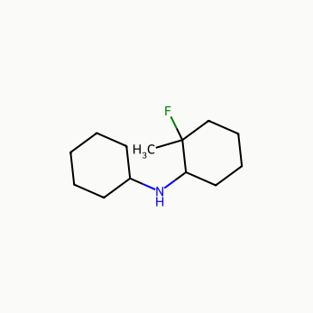 CC1(F)CCCCC1NC1CCCCC1